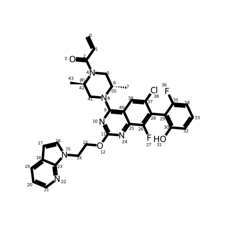 C=CC(=O)N1C[C@H](C)N(c2nc(OCCn3ccc4cccnc43)nc3c(F)c(-c4c(O)cccc4F)c(Cl)cc23)C[C@H]1C